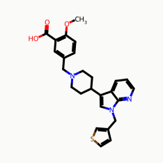 COc1ccc(CN2CCC(c3cn(Cc4ccsc4)c4ncccc34)CC2)cc1C(=O)O